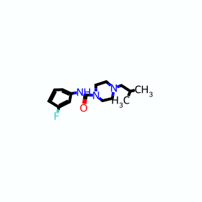 C[C](C)CN1CCN(C(=O)Nc2cccc(F)c2)CC1